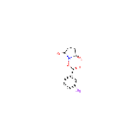 O=C(ON1C(=O)CCC1=O)c1cccc([124I])c1